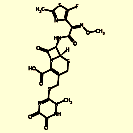 CO/N=C(\C(=O)N[C@@H]1C(=O)N2C(C(=O)O)=C(CSc3nc(=O)c(=O)[nH]n3C)CS[C@H]12)c1nc(C)sc1F